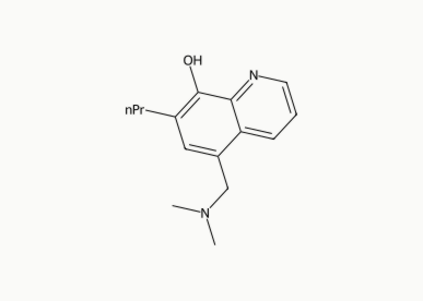 CCCc1cc(CN(C)C)c2cccnc2c1O